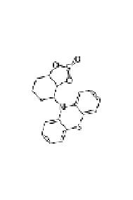 O=S1OC2CCCC(N3c4ccccc4Sc4ccccc43)C2O1